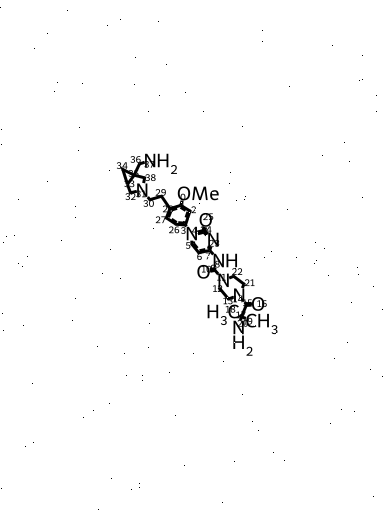 COc1cc(-n2ccc(NC(=O)N3CCN(C(=O)C(C)(C)N)CC3)nc2=O)ccc1CCN1CC2CC2(CN)C1